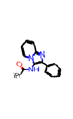 CC(C)C(=O)Nc1c(-c2ccccc2)nc2ccccn12